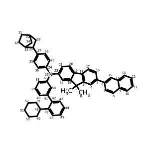 CC1(C)c2cc(-c3ccc4ccccc4c3)ccc2-c2ccc(N(c3ccc(C4CC5CCC4C5)cc3)c3cccc(-c4ccccc4C4CCCCC4)c3)cc21